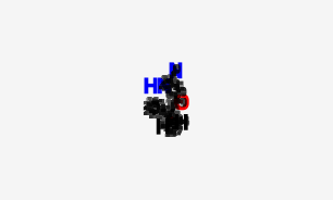 N#Cc1c[nH]c2cc(C(=O)CCC[C@@H]3C[C@H]4CC[C@@H](C3)C4CCCc3ccccc3)ccc12